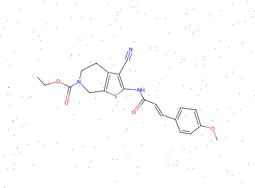 CCOC(=O)N1CCc2c(sc(NC(=O)C=Cc3ccc(OC)cc3)c2C#N)C1